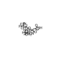 CC(C)C[C@H](NC(=O)C(F)(F)Cl)C(=O)N1C[C@H]2[C@@H]([C@H]1C(=O)N[C@@H](C[C@@H]1CCNC1=O)C(N)=O)C2(C)C